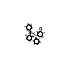 O=C(C[P+](c1ccccc1)(c1ccccc1)c1ccccc1)c1ccccc1.[Cl-]